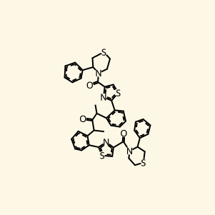 CC(C(=O)C(C)c1ccccc1-c1nc(C(=O)N2CCSCC2c2ccccc2)cs1)c1ccccc1-c1nc(C(=O)N2CCSCC2c2ccccc2)cs1